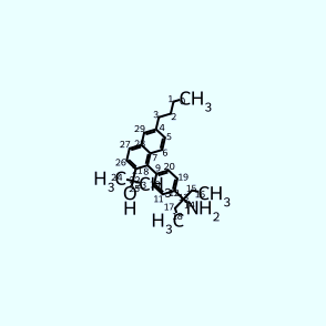 CCCCc1ccc2c(-c3ccc(C(N)(CC)CC)cc3)c(C(C)(C)O)ccc2c1